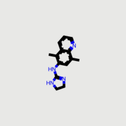 Cc1c(NC2=NCCN2)cc(C)c2ncccc12